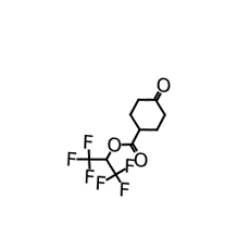 O=C1CCC(C(=O)OC(C(F)(F)F)C(F)(F)F)CC1